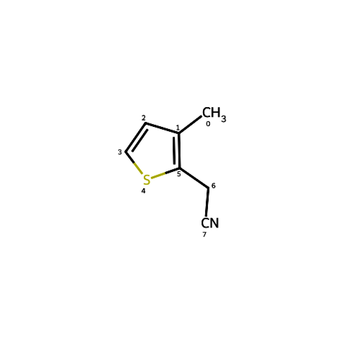 Cc1ccsc1CC#N